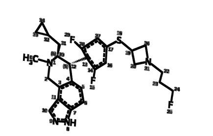 CN1Cc2c(ccc3[nH]ncc23)[C@@H](c2c(F)cc(SC3CN(CCCF)C3)cc2F)[C@@H]1CC1CC1